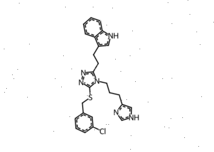 Clc1cccc(CSc2nnc(CCc3c[nH]c4ccccc34)n2CCCc2c[nH]cn2)c1